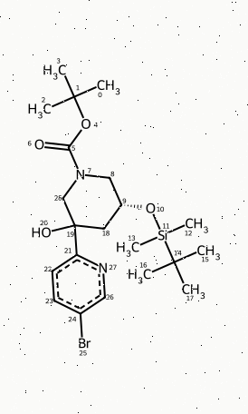 CC(C)(C)OC(=O)N1C[C@H](O[Si](C)(C)C(C)(C)C)CC(O)(c2ccc(Br)cn2)C1